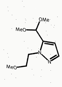 COCCn1nccc1C(OC)OC